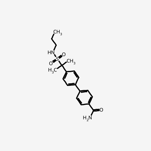 CCCNS(=O)(=O)C(C)(C)c1ccc(-c2ccc(C(N)=O)cc2)cc1